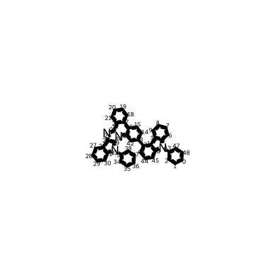 c1ccc(-n2c3ccccc3c3c(-c4ccc5c6ccccc6c6nc7c8ccccc8n(-c8ccccc8)c7n6c5c4)cccc32)cc1